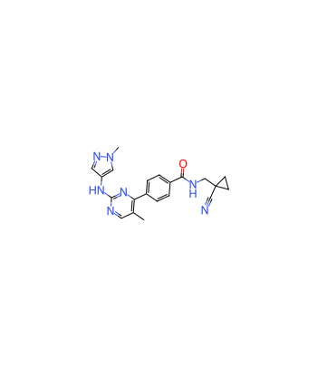 Cc1cnc(Nc2cnn(C)c2)nc1-c1ccc(C(=O)NCC2(C#N)CC2)cc1